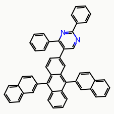 c1ccc(-c2ncc(-c3ccc4c(-c5ccc6ccccc6c5)c5ccccc5c(-c5ccc6ccccc6c5)c4c3)c(-c3ccccc3)n2)cc1